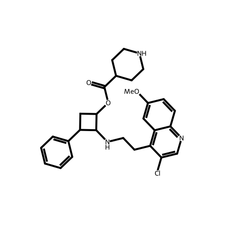 COc1ccc2ncc(Cl)c(CCNC3C(OC(=O)C4CCNCC4)CC3c3ccccc3)c2c1